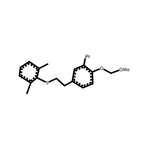 COCOc1ccc(CCSc2c(C)cccc2C)cc1C(C)C